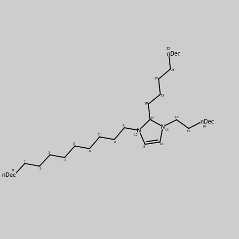 CCCCCCCCCCCCCCCCCCCN1C=CN(CCCCCCCCCCCC)C1CCCCCCCCCCCCCC